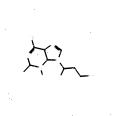 NC1=NC(Cl)N(O)C2C1N=CN2C(O)CCO